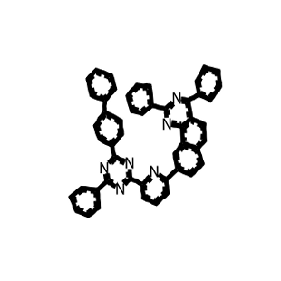 c1ccc(-c2ccc(-c3nc(-c4ccccc4)nc(-c4cccc(-c5ccc6ccc7c(-c8ccccc8)nc(-c8ccccc8)nc7c6c5)n4)n3)cc2)cc1